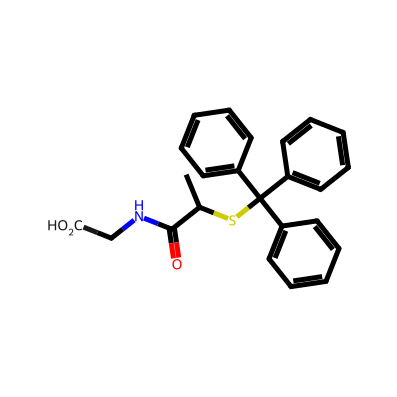 CC(SC(c1ccccc1)(c1ccccc1)c1ccccc1)C(=O)NCC(=O)O